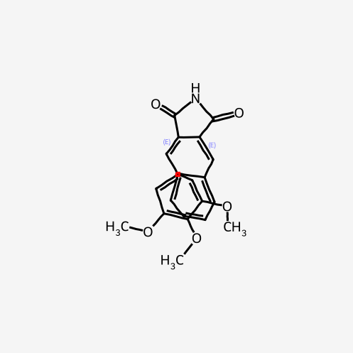 COc1cc(/C=C2/C(=O)NC(=O)/C2=C/c2ccccc2)cc(OC)c1OC